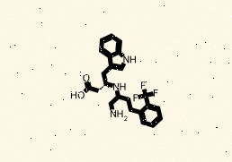 NCC(CCc1ccccc1C(F)(F)F)N[C@H](CC(=O)O)Cc1c[nH]c2ccccc12